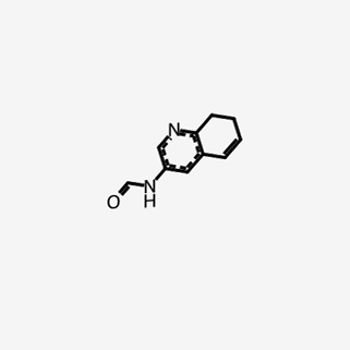 O=CNc1cnc2c(c1)C=CCC2